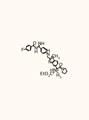 CCOC(=O)CN[C@@](C)(C(=O)N1CCCC1)c1ccc2c(c1)nc(CNc1ccc(C(=N)NC(=O)c3ccc(F)cc3)cc1)n2C